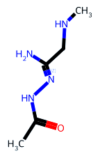 CNC/C(N)=N/NC(C)=O